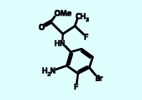 COC(=O)C(Nc1ccc(Br)c(F)c1N)C(C)F